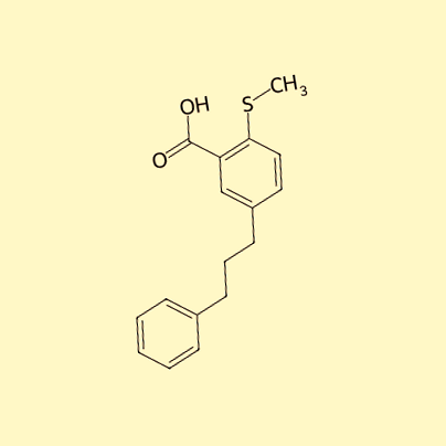 CSc1ccc(CCCc2ccccc2)cc1C(=O)O